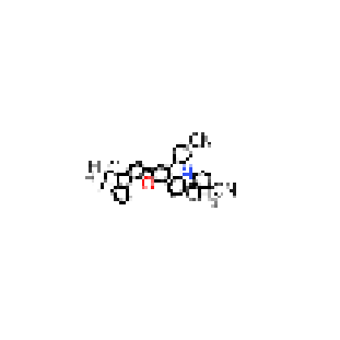 CC1(C)c2ccccc2-c2c1ccc1c2oc2ccc(C3=CC=C(C#N)CC3N3c4ccccc4C4(C)CC(C#N)C=CC34)cc21